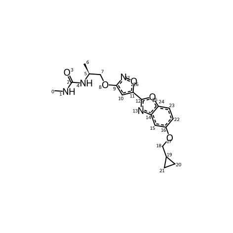 CNC(=O)N[C@@H](C)COc1cc(-c2nc3cc(OCC4CC4)ccc3o2)on1